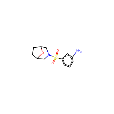 Nc1cccc(S(=O)(=O)N2CC3CCC(C2)O3)c1